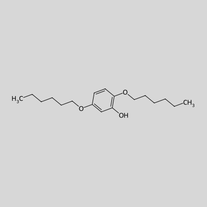 CCCCCCOc1ccc(OCCCCCC)c(O)c1